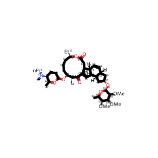 CCCN(C)[C@H]1CCC(O[C@H]2CCC[C@H](CC)OC(=O)C[C@@H]3C(=C[C@@H]4[C@H]3C=C[C@@H]3C[C@@H](O[C@@H]5OC(C)[C@H](OC)C(OC)C5OC)C[C@@H]43)C(=O)[C@@H]2C)OC1C